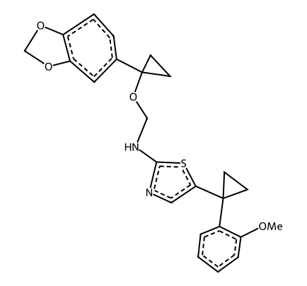 COc1ccccc1C1(c2cnc(NCOC3(c4ccc5c(c4)OCO5)CC3)s2)CC1